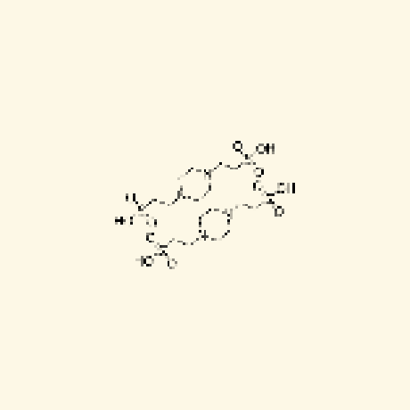 O=S(=O)(O)CCN1CCN(CCS(=O)(=O)O)CC1.O=S(=O)(O)CCN1CCN(CCS(=O)(=O)O)CC1